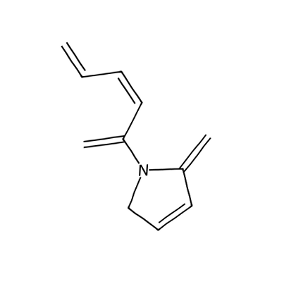 C=C/C=C\C(=C)N1CC=CC1=C